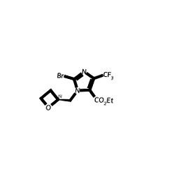 CCOC(=O)c1c(C(F)(F)F)nc(Br)n1C[C@@H]1CCO1